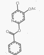 CC(=O)Oc1cc(OC(=O)c2ccccc2)ncc1Cl